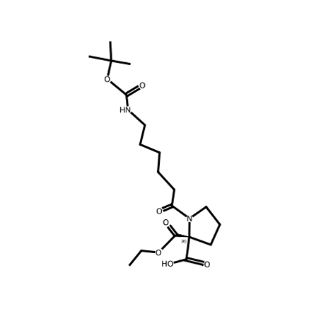 CCOC(=O)[C@]1(C(=O)O)CCCN1C(=O)CCCCCNC(=O)OC(C)(C)C